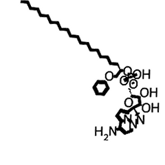 CCCCCCCCCCCCCCCCCCCC[C@H](COc1ccccc1)OP(=O)(O)OC[C@H]1O[C@@](C#N)(c2ccc3c(N)ccnn23)[C@H](O)[C@@H]1O